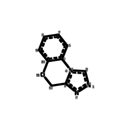 [c]1nnc2n1-c1ccccc1OC2